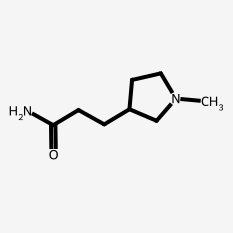 CN1CCC(CCC(N)=O)C1